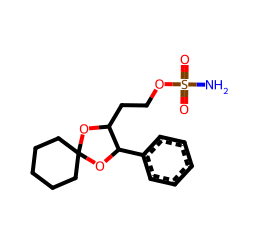 NS(=O)(=O)OCCC1OC2(CCCCC2)OC1c1ccccc1